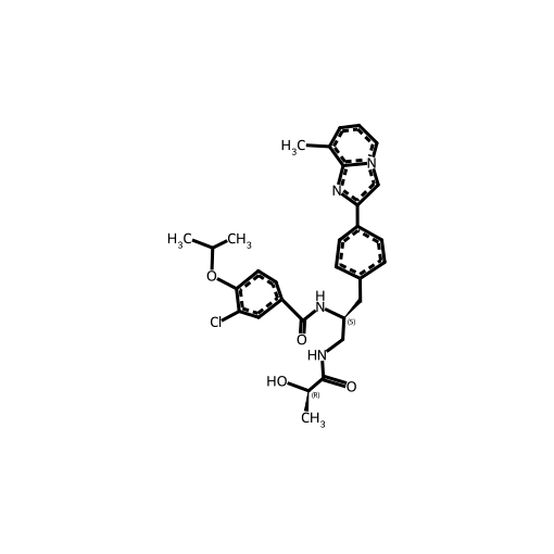 Cc1cccn2cc(-c3ccc(C[C@@H](CNC(=O)[C@@H](C)O)NC(=O)c4ccc(OC(C)C)c(Cl)c4)cc3)nc12